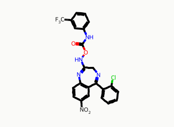 O=C(Nc1cccc(C(F)(F)F)c1)ONC1=Nc2ccc([N+](=O)[O-])cc2C(c2ccccc2Cl)=NC1